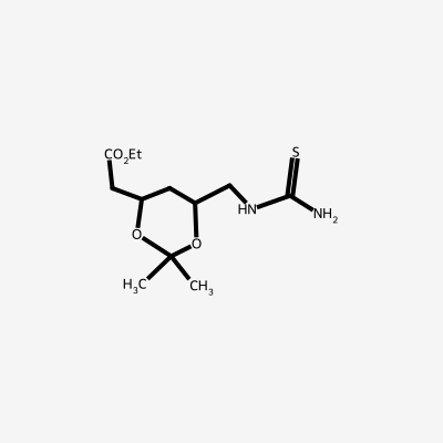 CCOC(=O)CC1CC(CNC(N)=S)OC(C)(C)O1